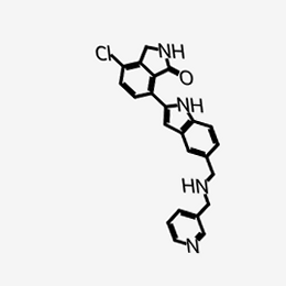 O=C1NCc2c(Cl)ccc(-c3cc4cc(CNCc5cccnc5)ccc4[nH]3)c21